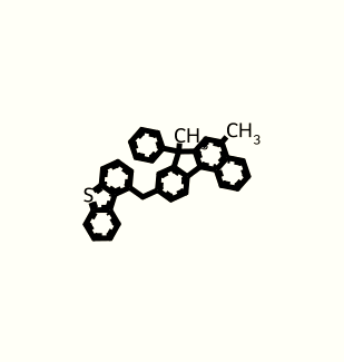 Cc1cc2c(c3ccccc13)-c1ccc(Cc3cccc4sc5ccccc5c34)cc1C2(C)c1ccccc1